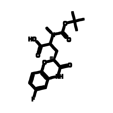 CN(C(=O)OC(C)(C)C)C(C[C@@H]1Oc2ccc(F)cc2NC1=O)C(=O)O